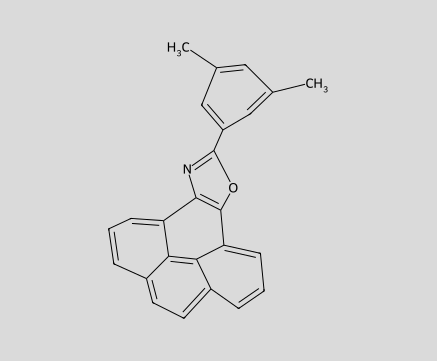 Cc1cc(C)cc(-c2nc3c4cccc5ccc6cccc(c3o2)c6c54)c1